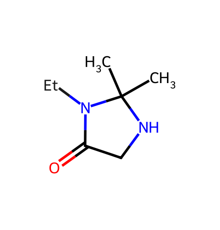 CCN1C(=O)CNC1(C)C